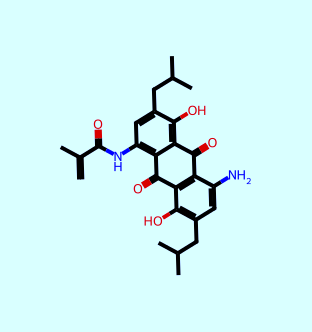 C=C(C)C(=O)Nc1cc(CC(C)C)c(O)c2c1C(=O)c1c(O)c(CC(C)C)cc(N)c1C2=O